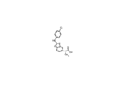 CC(C(=O)O)c1ccc2oc(Nc3ccc(Cl)cc3)nc2c1